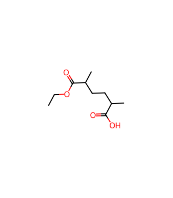 CCOC(=O)C(C)CCC(C)C(=O)O